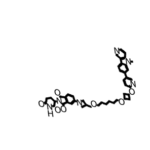 Cn1c2ccncc2c2ccc(-c3ccc(O[C@H]4C[C@H](OCCCCCCOCC5CN(c6ccc7c(c6)C(=O)N(C6CCC(=O)NC6=O)C7=O)C5)C4)nc3)cc21